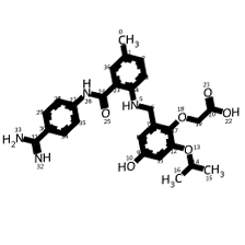 Cc1ccc(NCc2cc(O)cc(OC(C)C)c2OCC(=O)O)c(C(=O)Nc2ccc(C(=N)N)cc2)c1